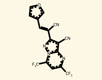 N#CC(=Cc1ccoc1)c1nn2c(C(F)(F)F)cc(C(F)(F)F)nc2c1C#N